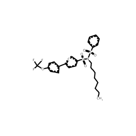 CCCCCCCCN(S(=O)(=O)c1ccccc1)S(=O)(=O)c1ccc(-c2ccc(OC(F)(F)F)cc2)cc1